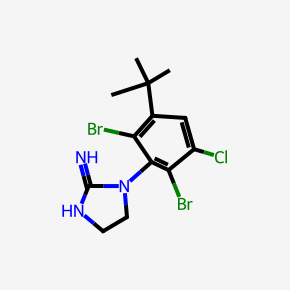 CC(C)(C)c1cc(Cl)c(Br)c(N2CCNC2=N)c1Br